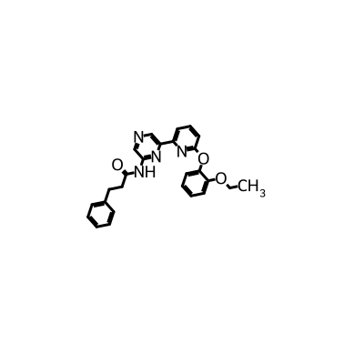 CCOc1ccccc1Oc1cccc(-c2cncc(NC(=O)CCc3ccccc3)n2)n1